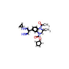 CC(=O)N1c2ccc(/C(C=N)=C/NC3CC3)cc2N(C(=O)OC2CCCC2)CC1C